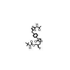 CC(=O)Nc1ncc(Cc2ccc(-n3cnn(C/C(=C\F)COC(=O)NC(C)(C)C)c3=O)cc2)s1